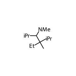 CCC(C)(C(C)C)C(NC)C(C)C